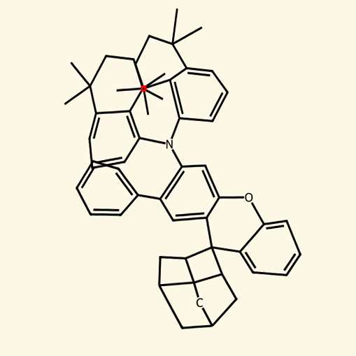 CC1(C)CCC(C)(C)c2c(N(c3cc4c(cc3-c3ccccc3)C3(c5ccccc5O4)C4CC5CC6CC3C64C5)c3cccc4c3C(C)(C)CCC4(C)C)cccc21